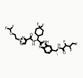 C[C@@H](NC(=O)C(F)C(F)CF)c1ccc2nc([C@@H](NC(=O)c3cnn(CCOC(F)F)n3)C3CCC(F)(F)CC3)[nH]c2c1